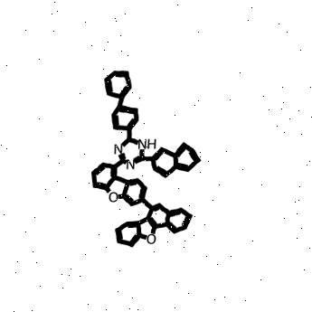 c1ccc(-c2ccc(C3N=C(c4cccc5oc6cc(-c7cc8ccccc8c8oc9ccccc9c78)ccc6c45)N=C(c4ccc5ccccc5c4)N3)cc2)cc1